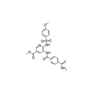 COC(=O)c1cnc(NS(=O)(=O)c2ccc(OC)cc2)c(NC(=O)c2ccc(C(N)=S)cc2)c1